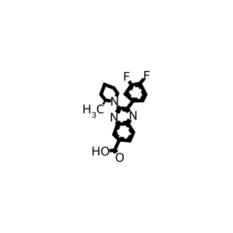 C[C@H]1CCCCN1c1nc2cc(C(=O)O)ccc2nc1-c1ccc(F)c(F)c1